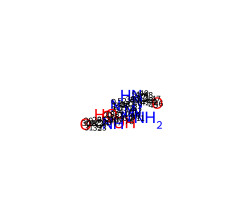 CN(C[C@H]1C[C@@H](n2ccc3c(N)ncnc32)[C@H](O)[C@]1(O)CC(=O)Nc1ccc(C2COC2)cc1)C1CC(CCc2nc3cc(C4COC4)ccc3[nH]2)C1